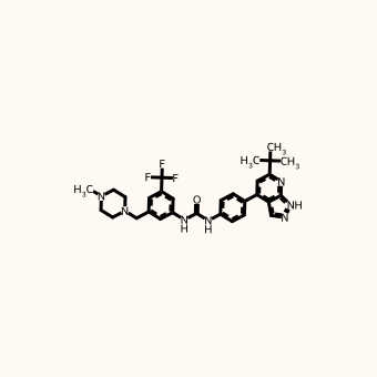 CN1CCN(Cc2cc(NC(=O)Nc3ccc(-c4cc(C(C)(C)C)nc5[nH]ncc45)cc3)cc(C(F)(F)F)c2)CC1